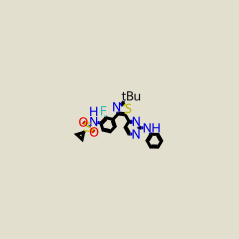 CC(C)(C)c1nc(-c2cccc(NS(=O)(=O)C3CC3)c2F)c(-c2ccnc(Nc3ccccc3)n2)s1